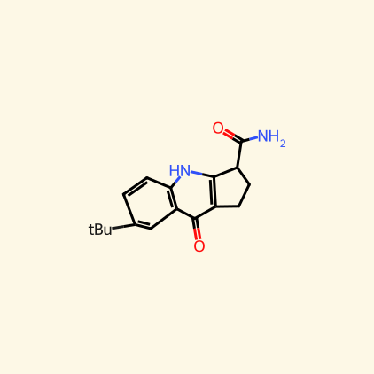 CC(C)(C)c1ccc2[nH]c3c(c(=O)c2c1)CCC3C(N)=O